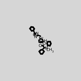 CN(c1ccccc1)C(C(=O)O[C@H]1C[N+]2(Cc3noc(-c4ccccc4)n3)CCC1CC2)c1ccccc1